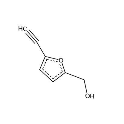 C#Cc1ccc(CO)o1